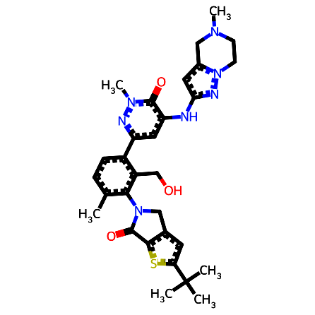 Cc1ccc(-c2cc(Nc3cc4n(n3)CCN(C)C4)c(=O)n(C)n2)c(CO)c1N1Cc2cc(C(C)(C)C)sc2C1=O